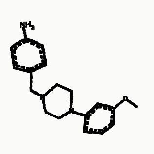 COc1cccc(N2CCN(Cc3ccc(N)cc3)CC2)c1